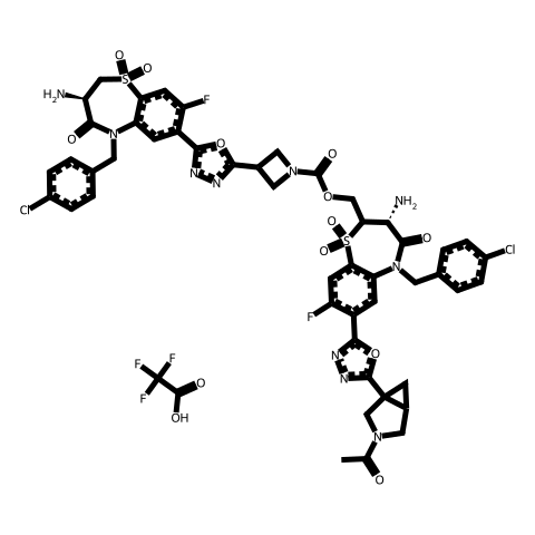 CC(=O)N1CC2CC2(c2nnc(-c3cc4c(cc3F)S(=O)(=O)C(COC(=O)N3CC(c5nnc(-c6cc7c(cc6F)S(=O)(=O)C[C@H](N)C(=O)N7Cc6ccc(Cl)cc6)o5)C3)[C@H](N)C(=O)N4Cc3ccc(Cl)cc3)o2)C1.O=C(O)C(F)(F)F